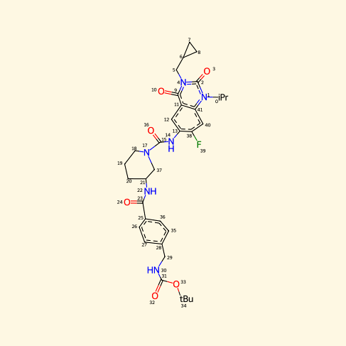 CC(C)n1c(=O)n(CC2CC2)c(=O)c2cc(NC(=O)N3CCCC(NC(=O)c4ccc(CNC(=O)OC(C)(C)C)cc4)C3)c(F)cc21